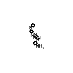 Nc1cccc(-n2cnc3cnc(Nc4ccc(Oc5ccccc5)cc4)nc32)c1